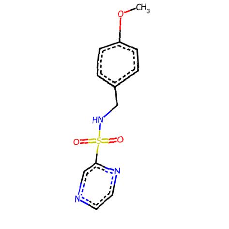 COc1ccc(CNS(=O)(=O)c2cnccn2)cc1